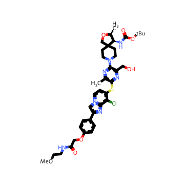 COCCNC(=O)COc1ccc(-c2cn3ccc(Sc4nc(CO)c(N5CCC6(CC5)CO[C@@H](C)[C@H]6NC(=O)OC(C)(C)C)nc4C)c(Cl)c3n2)cc1